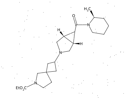 CCOC(=O)N1CCC2(CC(N3C[C@@H]4C(C(=O)N5CCCC[C@@H]5C)[C@@H]4C3)C2)C1